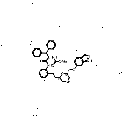 COC(=O)N[C@H](C(=O)Nc1ccccc1CC[C@@H]1CNC[C@@H](COc2ccc3cn[nH]c3c2)O1)C(c1ccccc1)c1ccccc1